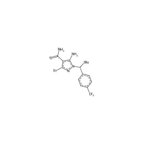 CCc1nn(C(c2ccc(C(F)(F)F)cc2)C(C)(C)C)c(N)c1C(N)=O